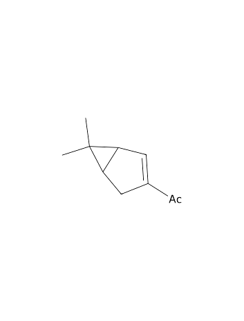 CC(=O)C1=CC2C(C1)C2(C)C